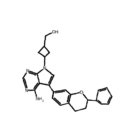 Nc1ncnc2c1c(-c1ccc3c(c1)OC(c1ccccc1)CC3)cn2C1CC(CO)C1